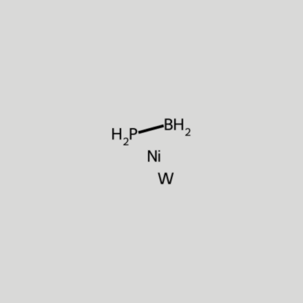 BP.[Ni].[W]